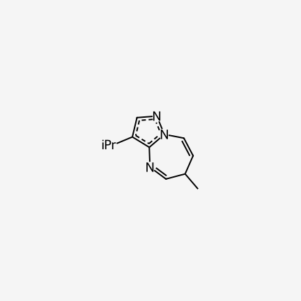 CC1C=Cn2ncc(C(C)C)c2N=C1